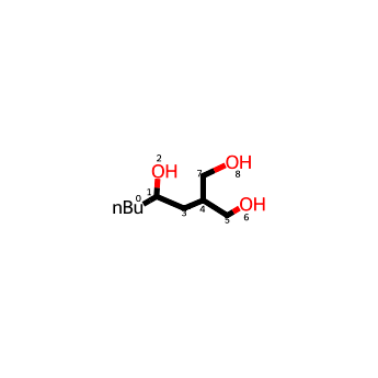 CCCCC(O)[CH]C(CO)CO